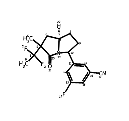 CC(F)(F)C1(C)C[C@H]2CCC(c3cc(F)cc(C#N)c3)N2C1=O